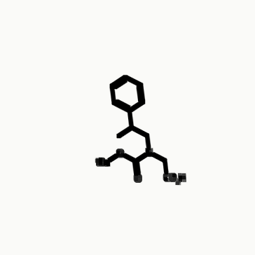 CC(CN(CC(=O)O)C(=O)OC(C)(C)C)c1ccccc1